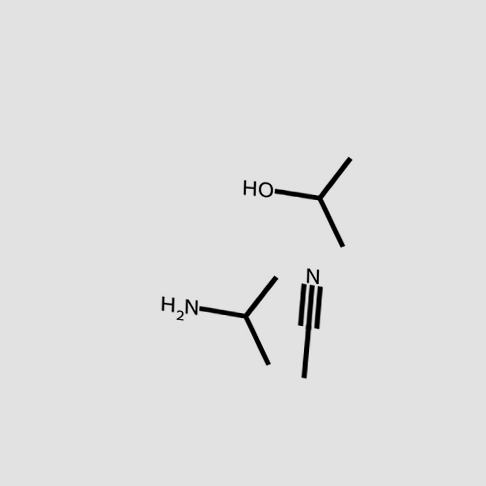 CC#N.CC(C)N.CC(C)O